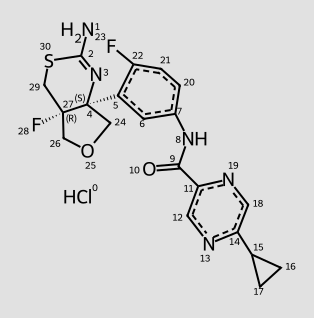 Cl.NC1=N[C@@]2(c3cc(NC(=O)c4cnc(C5CC5)cn4)ccc3F)COC[C@@]2(F)CS1